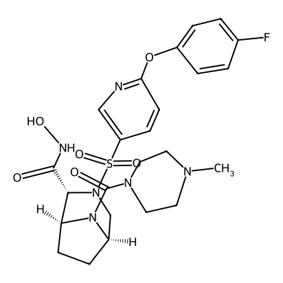 CN1CCN(C(=O)N2[C@@H]3CC[C@H]2[C@H](C(=O)NO)N(S(=O)(=O)c2ccc(Oc4ccc(F)cc4)nc2)C3)CC1